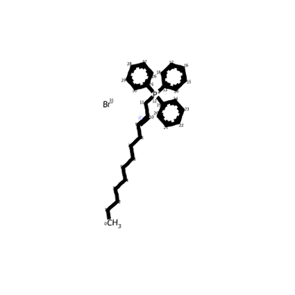 CCCCCCCCC/C=C/C[P+](c1ccccc1)(c1ccccc1)c1ccccc1.[Br-]